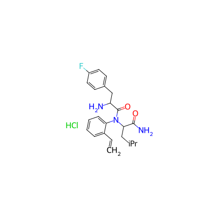 C=Cc1ccccc1N(C(=O)C(N)Cc1ccc(F)cc1)C(CC(C)C)C(N)=O.Cl